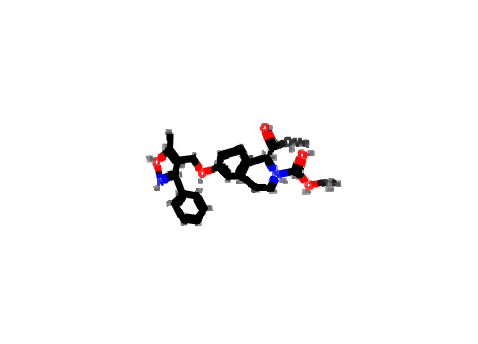 COC(=O)[C@H]1c2ccc(OCc3c(-c4ccccc4)noc3C)cc2CCN1C(=O)OC(C)(C)C